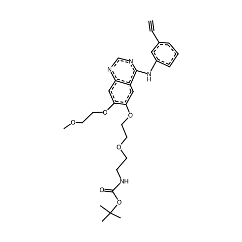 C#Cc1cccc(Nc2ncnc3cc(OCCOC)c(OCCOCCNC(=O)OC(C)(C)C)cc23)c1